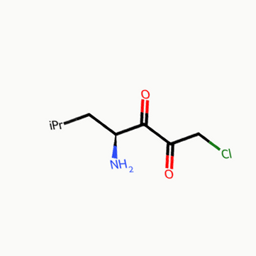 CC(C)C[C@H](N)C(=O)C(=O)CCl